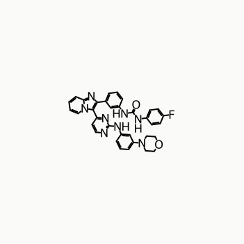 O=C(Nc1ccc(F)cc1)Nc1cccc(-c2nc3ccccn3c2-c2ccnc(Nc3cccc(N4CCOCC4)c3)n2)c1